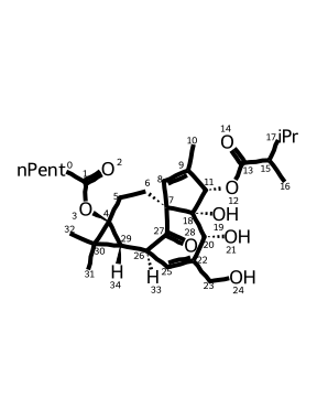 CCCCCC(=O)O[C@@]12CC[C@]34C=C(C)[C@H](OC(=O)C(C)C(C)C)[C@@]3(O)[C@H](O)C(CO)=C[C@H](C4=O)[C@@H]1C2(C)C